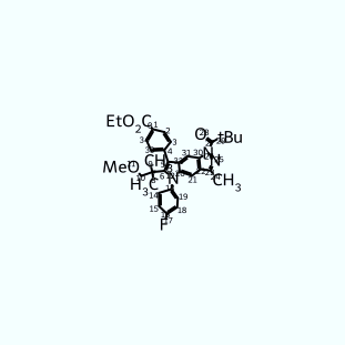 CCOC(=O)c1ccc(-c2c(C(C)(C)COC)n(-c3ccc(F)cc3)c3cc4c(C)nn(C(=O)C(C)(C)C)c4cc23)cc1